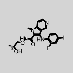 C[C@H](O)CONC(=O)c1c(Nc2ccc(I)cc2F)c2cnccc2n1C